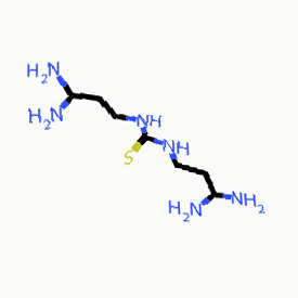 NC(N)CCNC(=S)NCCC(N)N